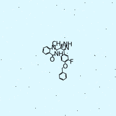 CN1c2ccccc2C(=O)NC1c1c[nH]nc1-c1ccc(OCc2ccccc2)c(F)c1